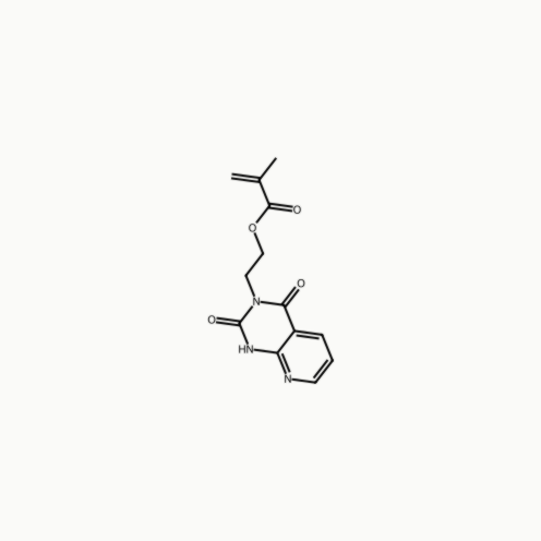 C=C(C)C(=O)OCCn1c(=O)[nH]c2ncccc2c1=O